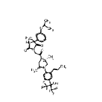 CC=Cc1cc(C(O)(C(F)(F)F)C(F)(F)F)ccc1N1C[C@@H](C)N(C(=O)CN2C(=O)NC(C)(c3cccc(OC(C)C)c3)C2=O)C[C@@H]1C